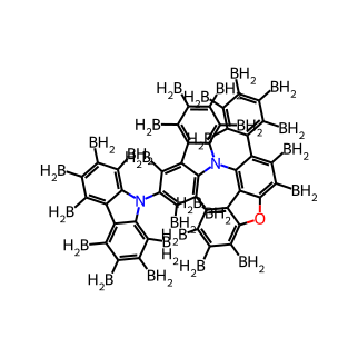 Bc1c(B)c(B)c(-c2c(B)c(B)c3oc4c(B)c(B)c(B)c(B)c4c3c2-n2c3c(B)c(B)c(B)c(B)c3c3c(B)c(-n4c5c(B)c(B)c(B)c(B)c5c5c(B)c(B)c(B)c(B)c54)c(B)c(B)c32)c(B)c1B